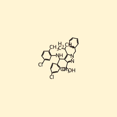 Cc1ccc(Cl)cc1NC(c1ccc(Cl)cc1C)c1c(C(=O)O)nn(Cc2ccccc2)c1C(C)C